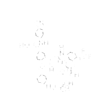 CC(CC(=O)Nc1ccc(OC(F)F)c(CN(C)C(=O)OCC[Si](C)(C)C)c1)c1cc(C(Nc2ccc(C#N)cc2)C(=O)O)ccc1OCc1ccccc1